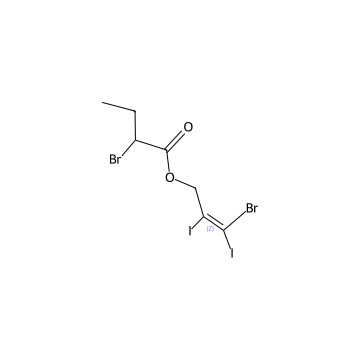 CCC(Br)C(=O)OC/C(I)=C(\Br)I